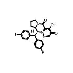 O=C1c2c(O)c(=O)cnn2[C@@H](C(c2ccc(F)cc2)c2ccc(F)cc2)[C@H]2CCCN12